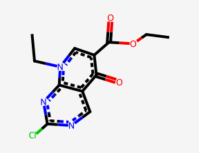 CCOC(=O)c1cn(CC)c2nc(Cl)ncc2c1=O